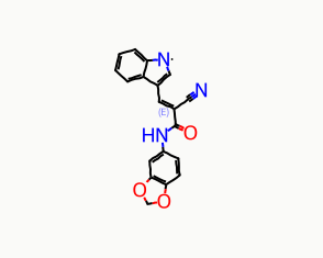 N#C/C(=C\C1=C[N]c2ccccc21)C(=O)Nc1ccc2c(c1)OCO2